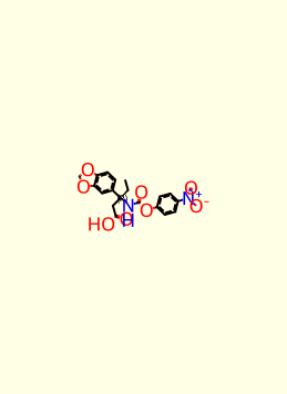 CC[C@](CC(=O)O)(NC(=O)Oc1ccc([N+](=O)[O-])cc1)c1ccc2c(c1)OCO2